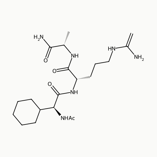 C=C(N)NCCC[C@H](NC(=O)[C@@H](NC(C)=O)C1CCCCC1)C(=O)N[C@@H](C)C(N)=O